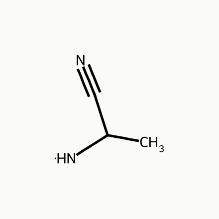 CC([NH])C#N